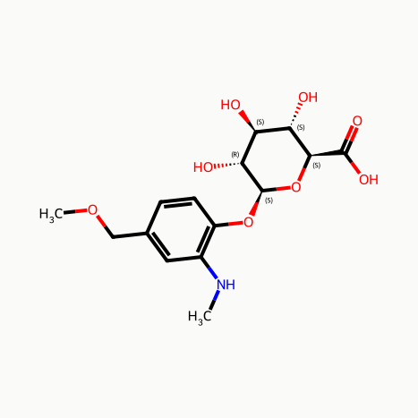 CNc1cc(COC)ccc1O[C@@H]1O[C@H](C(=O)O)[C@@H](O)[C@H](O)[C@H]1O